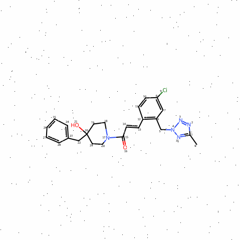 Cc1nnn(Cc2cc(Cl)ccc2/C=C/C(=O)N2CCC(O)(Cc3ccccc3)CC2)n1